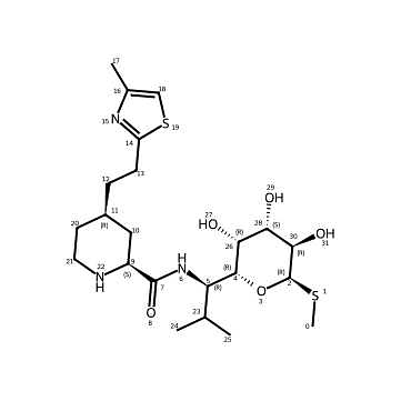 CS[C@H]1O[C@H]([C@H](NC(=O)[C@@H]2C[C@H](CCc3nc(C)cs3)CCN2)C(C)C)[C@H](O)[C@H](O)[C@H]1O